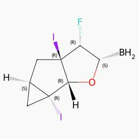 B[C@@H]1O[C@@H]2[C@@]3(I)C[C@H]3C[C@]2(I)[C@@H]1F